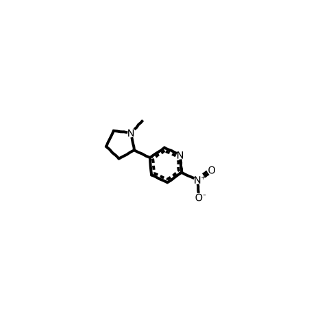 CN1CCCC1c1ccc([N+](=O)[O-])nc1